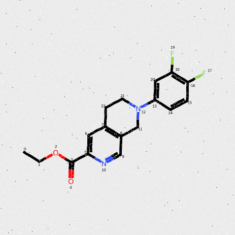 CCOC(=O)c1cc2c(cn1)CN(c1ccc(F)c(F)c1)CC2